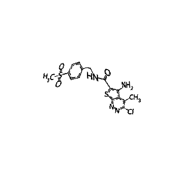 Cc1c(Cl)nnc2sc(C(=O)NCc3ccc(S(C)(=O)=O)cc3)c(N)c12